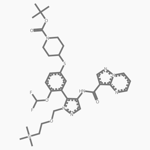 CC(C)(C)OC(=O)N1CCC(Sc2ccc(OC(F)F)c(-c3c(NC(=O)c4cnn5cccnc45)cnn3COCC[Si](C)(C)C)c2)CC1